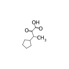 CC(C(=O)C(=O)O)C1CCCC1